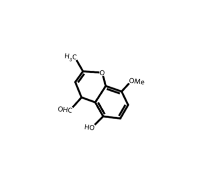 COc1ccc(O)c2c1OC(C)=CC2C=O